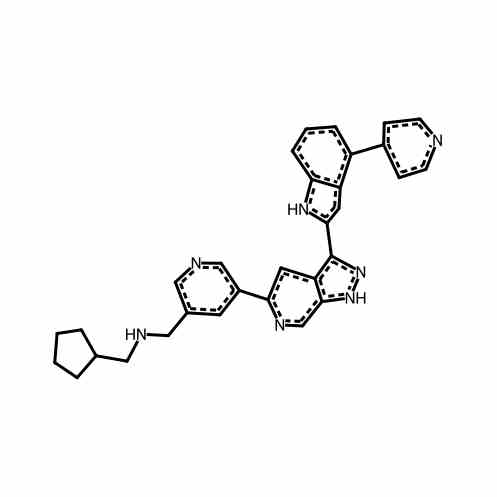 c1cc(-c2ccncc2)c2cc(-c3n[nH]c4cnc(-c5cncc(CNCC6CCCC6)c5)cc34)[nH]c2c1